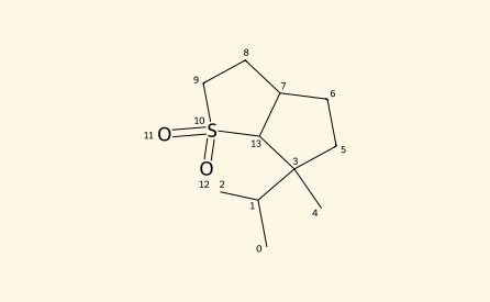 CC(C)C1(C)CCC2CCS(=O)(=O)C21